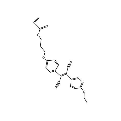 C=CC(=O)OCCCOc1ccc(/C(C#N)=C(\C#N)c2ccc(OCC)cc2)cc1